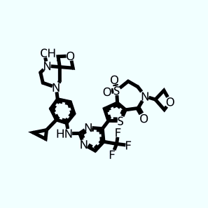 CN1CCN(c2ccc(Nc3ncc(C(F)(F)F)c(-c4cc5c(s4)C(=O)N(C4COC4)CCS5(=O)=O)n3)c(C3CC3)c2)CC12COC2